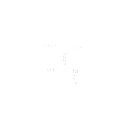 CCC/C(NCC)=C(/C)C(=O)O